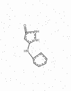 O=c1cc(Nc2ccccc2)[nH][nH]1